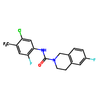 O=C(Nc1cc(Cl)c(C(F)(F)F)cc1F)N1CCc2cc(F)ccc2C1